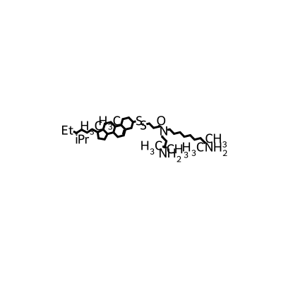 CCC(CCCC1CCC2C3CC=C4CC(SSCCC(=O)N(CCCCCCCC(C)(C)N)CCC(C)(C)N)CCC4(C)C3CCC12C)C(C)C